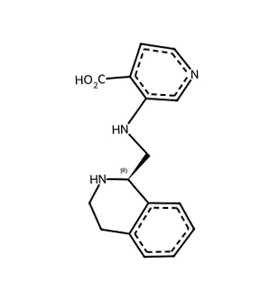 O=C(O)c1ccncc1NC[C@@H]1NCCc2ccccc21